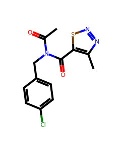 CC(=O)N(Cc1ccc(Cl)cc1)C(=O)c1snnc1C